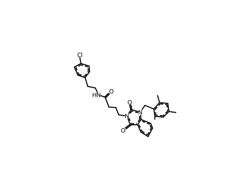 Cc1cc(C)c(Cn2c(=O)n(CCCC(=O)NCCc3ccc(Cl)cc3)c(=O)c3ccccc32)c(C)c1